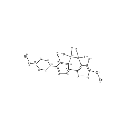 CCOc1ccc2c(c1F)C(F)(F)C(F)(F)c1c-2ccc(C2CCC(OCC)CC2)c1F